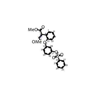 CO/C=C(/C(=O)OC)c1ccccc1Oc1cccc(OS(=O)(=O)c2ccccc2)c1